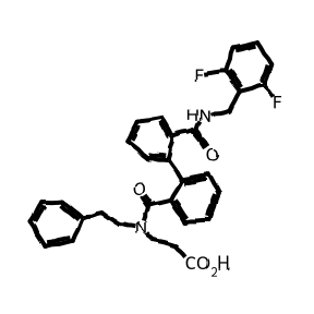 O=C(O)CCN(CCc1ccccc1)C(=O)c1ccccc1-c1ccccc1C(=O)NCc1c(F)cccc1F